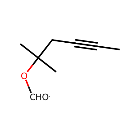 CC#CCC(C)(C)O[C]=O